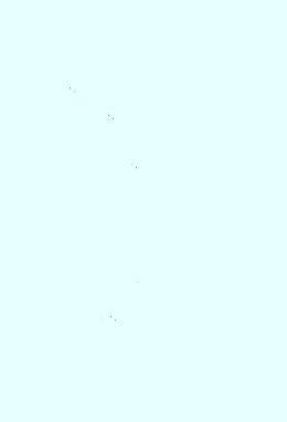 CCC1(CCCCN2CCN(c3ccccn3)CC2)C(=O)Nc2c(Cl)cc(Cl)cc21